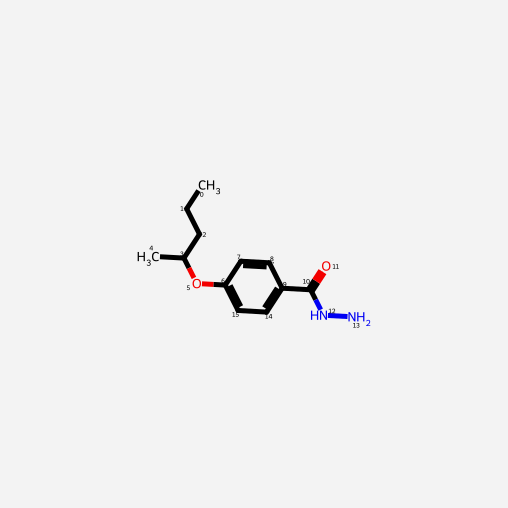 CCCC(C)Oc1c[c]c(C(=O)NN)cc1